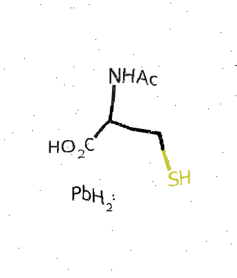 CC(=O)NC(CS)C(=O)O.[PbH2]